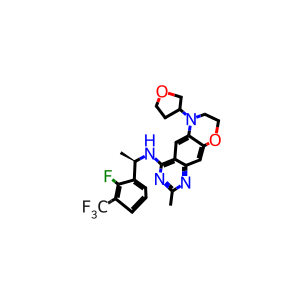 Cc1nc(N[C@H](C)c2cccc(C(F)(F)F)c2F)c2cc3c(cc2n1)OCCN3C1CCOC1